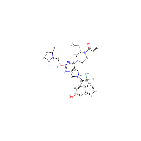 C=CC(=O)N1CCN(c2nc(OCN3CCCC3C)nc3c2CN(C2c4cc(O)cc5cccc(c45)C2(F)F)C3)C[C@@H]1CC#N